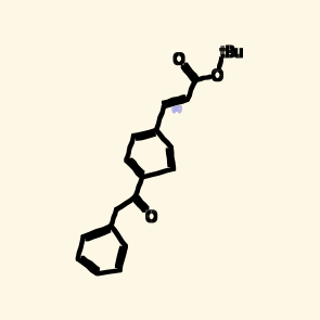 CC(C)(C)OC(=O)/C=C/c1ccc(C(=O)Cc2ccccc2)cc1